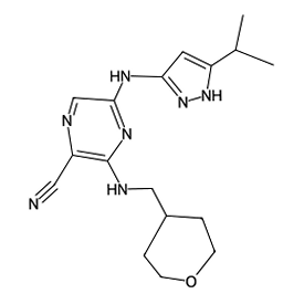 CC(C)c1cc(Nc2cnc(C#N)c(NCC3CCOCC3)n2)n[nH]1